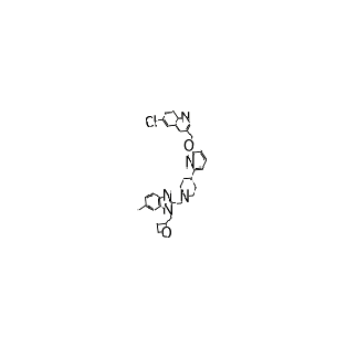 Cc1ccc2nc(CN3CCC(c4cccc(OCc5cnc6ccc(Cl)cc6c5)n4)CC3)n(CC3CCO3)c2c1